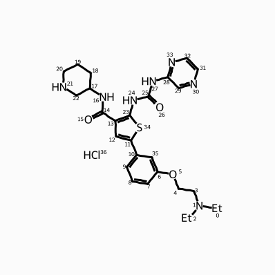 CCN(CC)CCOc1cccc(-c2cc(C(=O)NC3CCCNC3)c(NC(=O)Nc3cnccn3)s2)c1.Cl